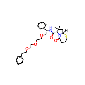 CC1(C)C[C@@H]2SCCCC(=O)N2[C@@H]1C(=O)N[C@H](COCCOCCOCCc1ccccc1)c1ccccc1